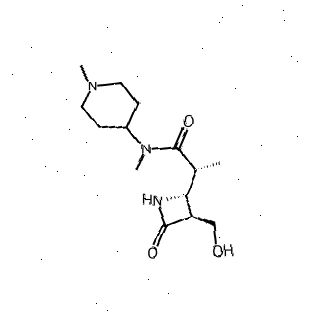 C[C@@H](C(=O)N(C)C1CCN(C)CC1)[C@H]1NC(=O)[C@@H]1CO